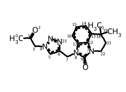 CC(=O)Cn1cc(Cn2c(=O)n3c4c(cccc42)C(C)(C)CC3)nn1